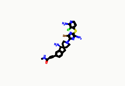 CNC(=O)C#Cc1ccc2c(c1)[C@@H](N)C1(CCN(c3nc(N)c(Sc4ccnc(N)c4Cl)nc3Br)CC1)C2